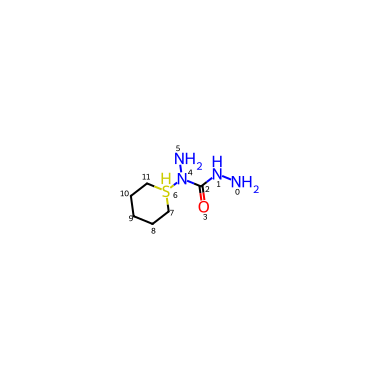 NNC(=O)N(N)[SH]1CCCCC1